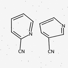 N#Cc1ccccn1.N#Cc1cccnc1